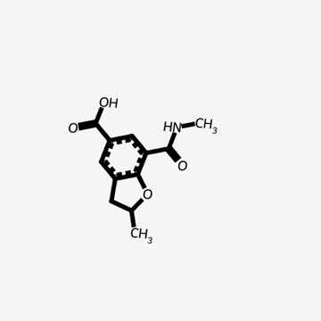 CNC(=O)c1cc(C(=O)O)cc2c1OC(C)C2